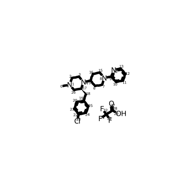 CN1CCN(C2CCN(c3ccccn3)CC2)[C@@H](Cc2ccc(Cl)cc2)C1.O=C(O)C(F)(F)F